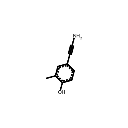 Cc1cc(C#CN)ccc1O